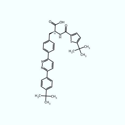 CC(C)(C)c1ccc(-c2ccc(-c3ccc(C[C@H](NC(=O)c4ccc(C(C)(C)C)s4)C(=O)O)cc3)nn2)cc1